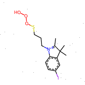 CC1=[N+](CCCSOOO)c2ccc(I)cc2C1(C)C